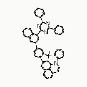 CC1(C)c2cc(-c3cc(-c4nc(-c5ccccc5)nc(-c5ccccc5)n4)c4ccccc4c3)ccc2-c2cc3cccc4c3c(c21)N(c1ccccc1)C=C4